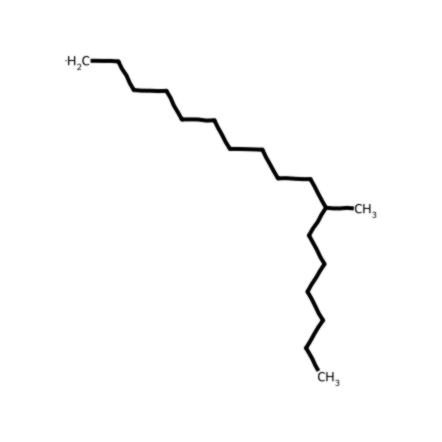 [CH2]CCCCCCCCCC(C)CCCCCC